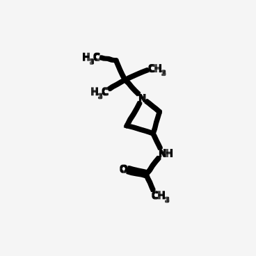 CCC(C)(C)N1CC(NC(C)=O)C1